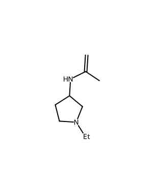 C=C(C)NC1CCN(CC)C1